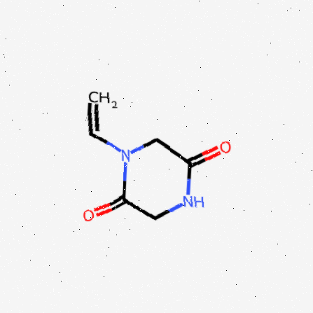 C=CN1CC(=O)NCC1=O